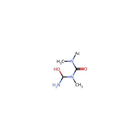 CC(=O)N(C)C(=O)N(C)C(N)O